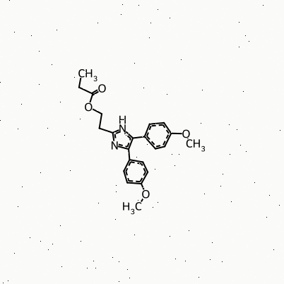 CCC(=O)OCCc1nc(-c2ccc(OC)cc2)c(-c2ccc(OC)cc2)[nH]1